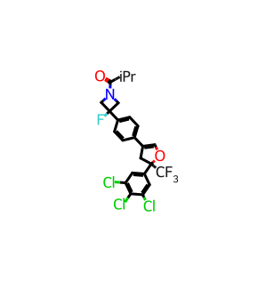 CC(C)C(=O)N1CC(F)(c2ccc(C3=COC(c4cc(Cl)c(Cl)c(Cl)c4)(C(F)(F)F)C3)cc2)C1